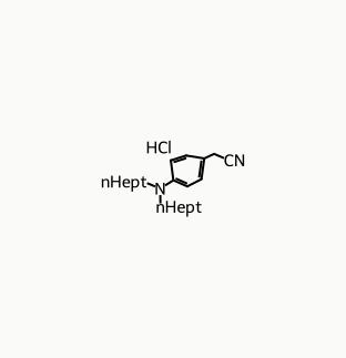 CCCCCCCN(CCCCCCC)c1ccc(CC#N)cc1.Cl